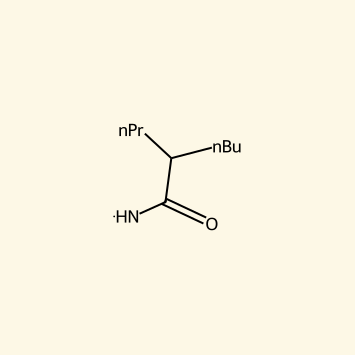 CCCCC(CCC)C([NH])=O